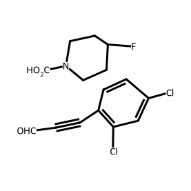 O=C(O)N1CCC(F)CC1.O=CC#Cc1ccc(Cl)cc1Cl